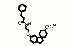 O=C(CCc1ccccc1)NCCOc1ccc2c(c1)C1(CC2)CCC(C(=O)O)CC1